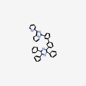 c1ccc(-c2nc(-c3ccccc3)c(-c3cccc(-c4cccc(-c5nc(-c6ccccn6)c6ccccn56)c4)c3)nc2-c2ccccc2)cc1